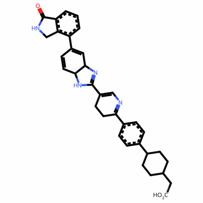 O=C(O)CC1CCC(c2ccc(C3=NC=C(C4=NC5C=C(c6cccc7c6CNC7=O)C=CC5N4)CC3)cc2)CC1